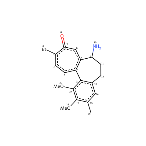 CCc1ccc2c(cc1=O)C(N)CCc1cc(C)c(OC)c(OC)c1-2